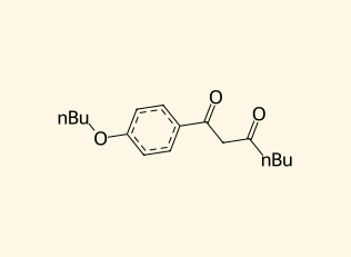 CCCCOc1ccc(C(=O)CC(=O)CCCC)cc1